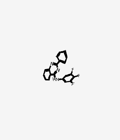 Fc1cc(Nc2nc(-c3ccccc3)nc3ccccc23)cc(F)c1F